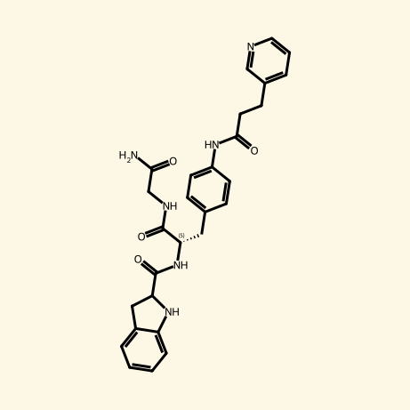 NC(=O)CNC(=O)[C@H](Cc1ccc(NC(=O)CCc2cccnc2)cc1)NC(=O)C1Cc2ccccc2N1